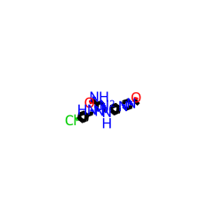 CC(=O)N1CCN(c2ccc(Nc3ncc(C(N)=O)c(NCc4ccc(Cl)cc4)n3)cc2)CC1